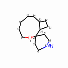 C1CCOC2(CCNCC2)C2CCC2CC1